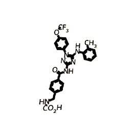 Cc1ccccc1Nc1nc(NC(=O)c2ccc(CNC(=O)O)cc2)nn1-c1ccc(OC(F)(F)F)cc1